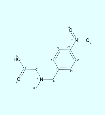 CN(CC(=O)O)Cc1ccc([N+](=O)[O-])cc1